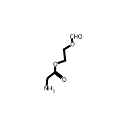 NCC(=O)OCCOC=O